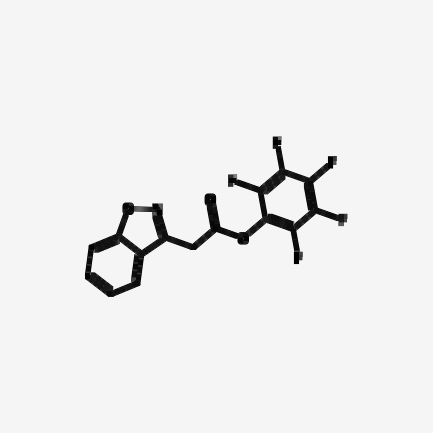 O=C(Cc1noc2ccccc12)Oc1c(F)c(F)c(F)c(F)c1F